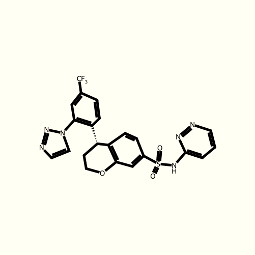 O=S(=O)(Nc1cccnn1)c1ccc2c(c1)OCC[C@@H]2c1ccc(C(F)(F)F)cc1-n1ccnn1